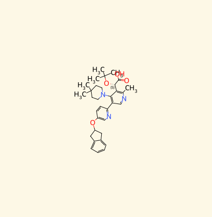 Cc1ncc(-c2ccc(OC3Cc4ccccc4C3)cn2)c(N2CCC(C)(C)CC2)c1[C@H](OC(C)(C)C)C(=O)O